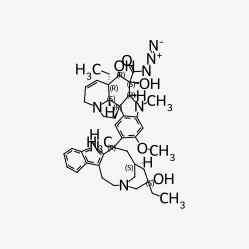 CC[C@]1(O)C[C@H]2CN(CCc3c([nH]c4ccccc34)[C@@](C)(c3cc4c(cc3OC)N(C)[C@H]3[C@@](O)(C(=O)N=[N+]=[N-])[C@H](O)[C@]5(CC)C=CCN6CC[C@]43[C@H]65)C2)C1